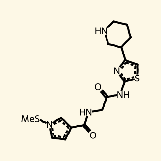 CSn1ccc(C(=O)NCC(=O)Nc2nc(C3CCCNC3)cs2)c1